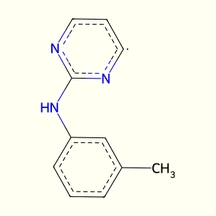 Cc1cccc(Nc2n[c]ccn2)c1